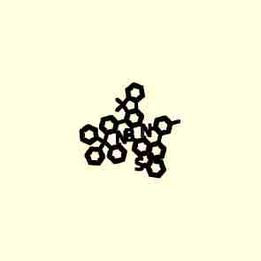 Cc1ccc(N2c3cc4c(cc3B3c5c2cc2c(c5-c5cccc6c5N3c3ccccc3C6(c3ccccc3)c3ccccc3)C(C)(C)c3ccccc3-2)sc2ccccc24)c(-c2ccccc2)c1